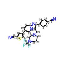 N#Cc1ccc(-c2nc3ccc(-c4csc(C#N)c4)cn3c2CN2CCCN(C(F)(F)F)CC2)cc1